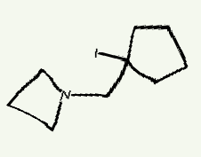 IC1(CN2CCC2)CCCC1